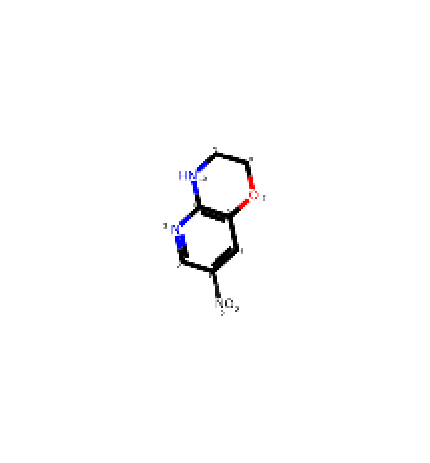 O=[N+]([O-])c1cnc2c(c1)OCCN2